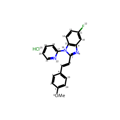 COc1ccc(C=Cc2nc3cc(F)ccc3n2-c2ccccn2)cc1.Cl